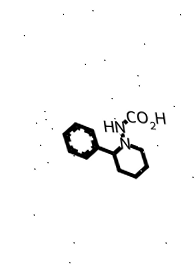 O=C(O)NN1CCCCC1c1ccccc1